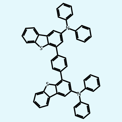 c1ccc(N(c2ccccc2)c2cc(-c3ccc(-c4cc(N(c5ccccc5)c5ccccc5)cc5c4sc4ccccc45)cc3)c3sc4ccccc4c3c2)cc1